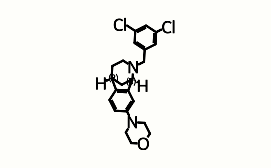 Clc1cc(Cl)cc(CN2CC[C@@H]3C[C@@H]2c2cc(N4CCOCC4)ccc23)c1